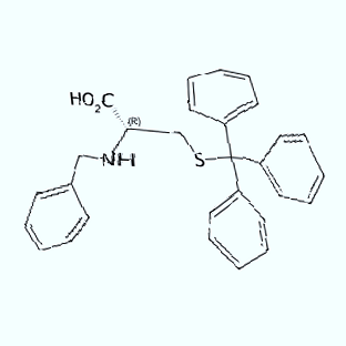 O=C(O)[C@H](CSC(c1ccccc1)(c1ccccc1)c1ccccc1)NCc1ccccc1